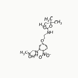 C[C@H](O)CNc1cc(OCCNC(=O)OC(C)(C)C)ccc1[N+](=O)[O-]